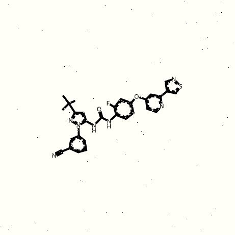 CC(C)(C)c1cc(NC(=O)Nc2ccc(Oc3ccnc(-c4cnsc4)c3)cc2F)n(-c2cccc(C#N)c2)n1